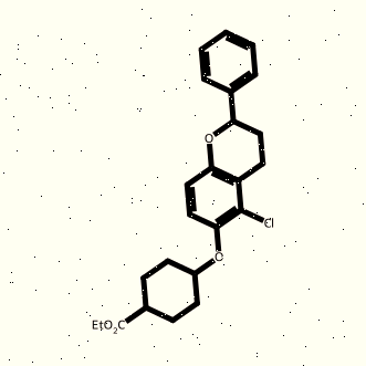 CCOC(=O)C1CCC(Oc2ccc3c(c2Cl)CCC(c2ccccc2)O3)CC1